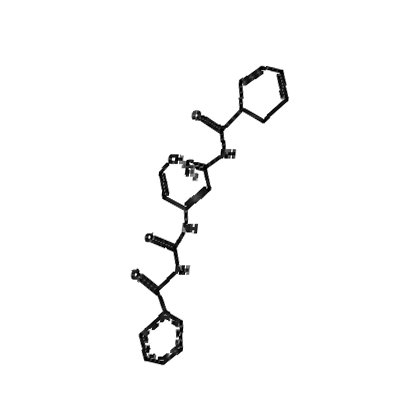 C=C(/C=C(\C=C/C)NC(=O)NC(=O)c1ccccc1)NC(=O)C1C=CC=CC1